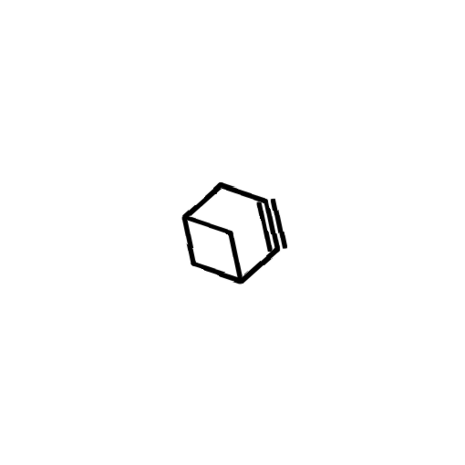 C1#CC2CC(C1)C2